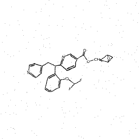 C1C2CC1O2.COC(=O)c1ccc(C(Cc2ccncc2)c2ccccc2OC(F)F)nc1